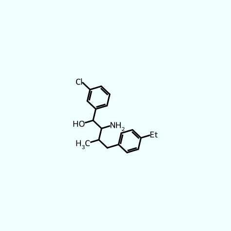 CCc1ccc(CC(C)C(N)C(O)c2cccc(Cl)c2)cc1